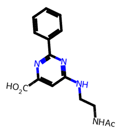 CC(=O)NCCNc1cc(C(=O)O)nc(-c2ccccc2)n1